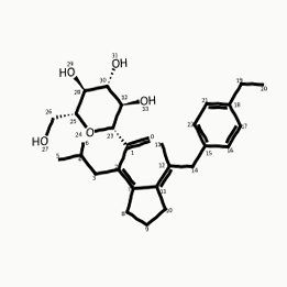 C=C(/C(CC(C)C)=C1/CCC/C1=C(/C)Cc1ccc(CC)cc1)[C@@H]1O[C@H](CO)[C@@H](O)[C@H](O)[C@H]1O